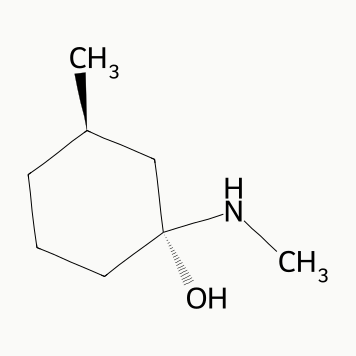 CN[C@@]1(O)CCC[C@@H](C)C1